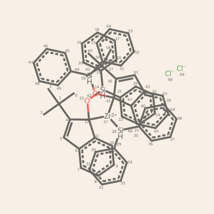 CC(C)(C)C1=Cc2ccccc2[C]1(O[SiH](c1ccccc1)c1ccccc1)[Zr+2]([SiH](c1ccccc1)c1ccccc1)[C]1(O[SiH](c2ccccc2)c2ccccc2)C(C(C)(C)C)=Cc2ccccc21.[Cl-].[Cl-]